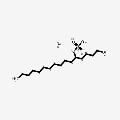 CCCCCCCCCCCC(CCCCO)OS(=O)(=O)[O-].[Na+]